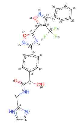 O=C(NCc1ncc[nH]1)C(O)c1ccc(-c2noc(-c3onc(-c4ccccc4)c3C(F)(F)F)n2)cc1